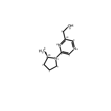 C[C@@H]1CCCN1c1cncc(CO)n1